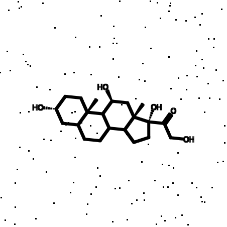 C[C@]12CC[C@@H](O)CC1CCC1C2[C@@H](O)C[C@@]2(C)C1CC[C@]2(O)C(=O)CO